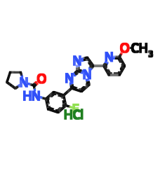 COc1cccc(-c2cnc3nc(-c4cc(NC(=O)N5CCCC5)ccc4F)ccn23)n1.Cl